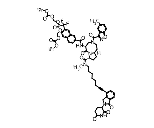 Cc1ccc2onc(C(=O)N3CC[C@H]4CC[C@@H](C(=O)N(C)CCCCCCC#Cc5cccc6c5CN(C5CCC(=O)NC5=O)C6=O)N4C(=O)[C@@H](NC(=O)c4ccc5ccc(C(F)(F)P(=O)(OCOC(=O)OC(C)C)OCOC(=O)OC(C)C)cc5c4)C3)c2c1